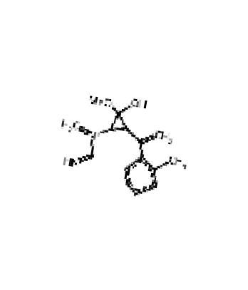 C=C(c1ccccc1C)C1C([N+](=C)C=N)C1(O)OC